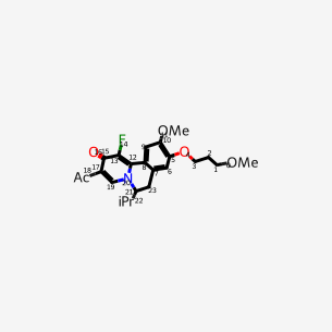 COCCCOc1cc2c(cc1OC)-c1c(F)c(=O)c(C(C)=O)cn1C(C(C)C)C2